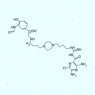 C[C@H](CCCN1CCN(CCCCNC(=N)NC(=O)c2nc(Cl)c(N)nc2N)CC1)NC[C@H](O)c1ccc(O)c(NC=O)c1